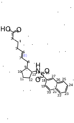 O=C(O)CCC/C=C/CC1CCCC1NS(=O)(=O)c1ccc2ccccc2c1